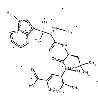 CN[C@H](C(=O)N[C@@H](CC(C)(C)C)C(=O)N(C)[C@H](/C=C(\C)C(=O)O)C(C)C)C(C)(C)c1cn(C)c2ccccc12